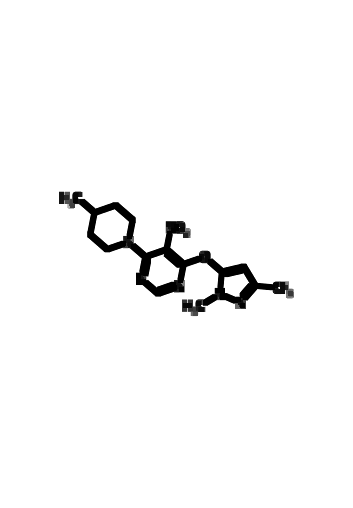 CC1CCN(c2ncnc(Oc3cc(C(F)(F)F)nn3C)c2[N+](=O)[O-])CC1